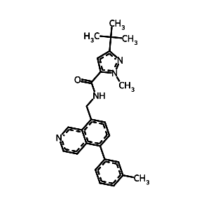 Cc1cccc(-c2ccc(CNC(=O)c3cc(C(C)(C)C)nn3C)c3cnccc23)c1